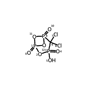 O=P12OP(=O)(O)C(Cl)(Cl)P(=O)(O1)O2